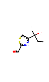 CCC(C)(O)c1csc(C=O)n1